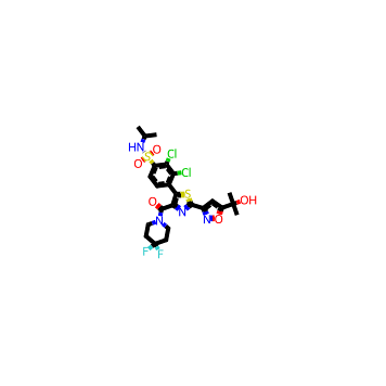 CC(C)NS(=O)(=O)c1ccc(-c2sc(-c3cc(C(C)(C)O)on3)nc2C(=O)N2CCC(F)(F)CC2)c(Cl)c1Cl